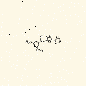 COc1cc(C)cc(N2CCCc3nc(-c4ccccn4)oc3C2)c1